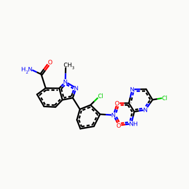 Cn1nc(-c2cccc(-n3o[nH]c4nc(Cl)cnc4o3)c2Cl)c2cccc(C(N)=O)c21